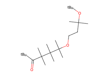 CC(C)(C)OC(C)(C)CCOC(C)(C)C(C)(C)C(C)(C)C(=O)C(C)(C)C